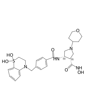 O=C(N[C@@H]1CN(C2CCOCC2)C[C@@H]1C(=O)NO)c1ccc(CN2CCS(O)(O)c3ccccc32)cc1